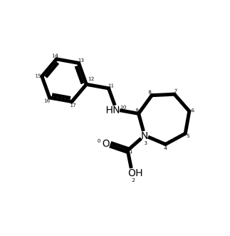 O=C(O)N1CCCCCC1NCc1ccccc1